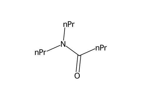 [CH2]CCC(=O)N(CCC)CCC